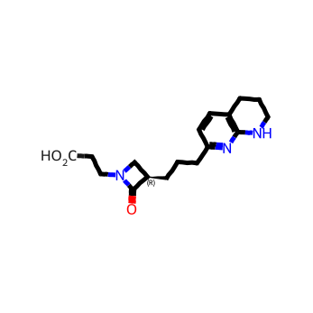 O=C(O)CCN1C[C@@H](CCCc2ccc3c(n2)NCCC3)C1=O